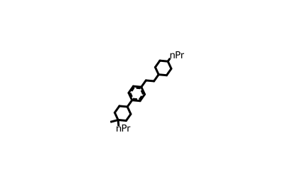 CCCC1CCC(CCc2ccc(C3CCC(C)(CCC)CC3)cc2)CC1